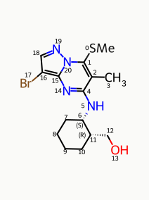 CSc1c(C)c(N[C@H]2CCCC[C@H]2CO)nc2c(Br)cnn12